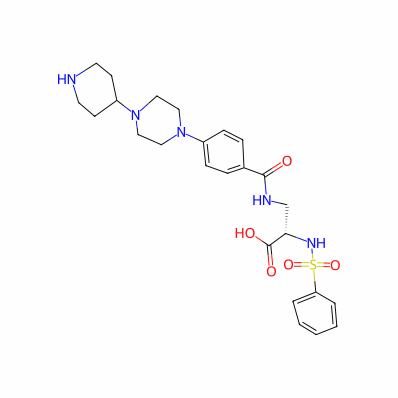 O=C(NC[C@H](NS(=O)(=O)c1ccccc1)C(=O)O)c1ccc(N2CCN(C3CCNCC3)CC2)cc1